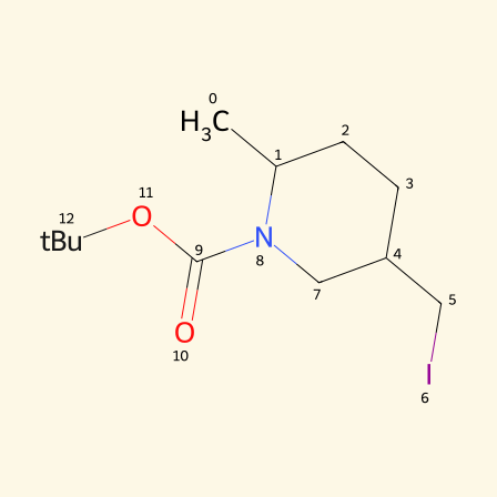 CC1CCC(CI)CN1C(=O)OC(C)(C)C